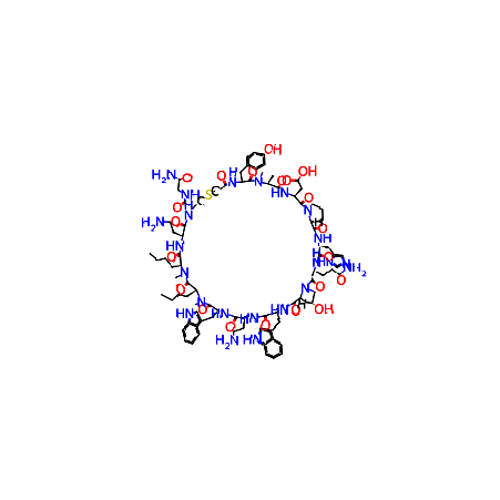 CCCC[C@H]1C(=O)N(C)[C@@H](CCCC)C(=O)N[C@@H](CCN)C(=O)N[C@H](C(=O)NCC(N)=O)CSCC(=O)NC(Cc2ccc(O)cc2)C(=O)N(C)[C@@H](C)C(=O)N[C@@H](CC(=O)O)C(=O)N2CCC[C@H]2C(=O)N[C@@H](Cc2cnc[nH]2)C(=O)N[C@@H](CCC(N)=O)C(=O)N2C[C@H](O)C[C@H]2C(=O)N[C@@H](Cc2c[nH]c3ccccc23)C(=O)N[C@@H](CCN)C(=O)N[C@@H](Cc2c[nH]c3ccccc23)C(=O)N1C